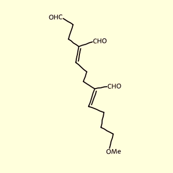 COCCC/C=C(\C=O)CC/C=C(\C=O)CCC=O